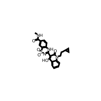 CNC(=O)c1ccc2c(c1)S(=O)(=O)N=C(c1c(O)c3ccccc3n(CCC3CC3)c1=O)N2